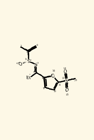 C=C(C)[S@@+]([O-])/N=C(\CC)c1ccc(S(C)(=O)=O)o1